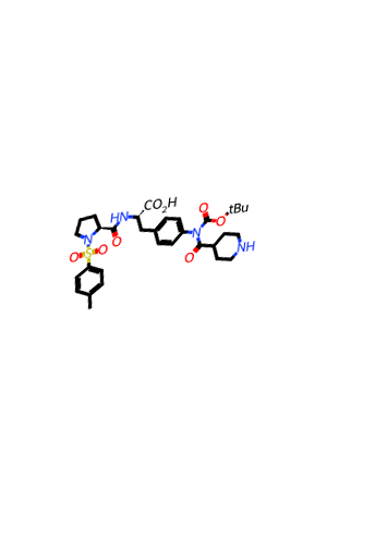 Cc1ccc(S(=O)(=O)N2CCC[C@H]2C(=O)N[C@@H](Cc2ccc(N(C(=O)OC(C)(C)C)C(=O)C3CCNCC3)cc2)C(=O)O)cc1